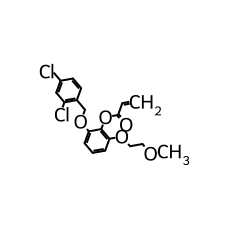 C=CC(=O)Oc1c(OCCOC)cccc1OCc1ccc(Cl)cc1Cl